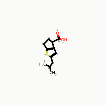 CC(C)Cc1cc2c(s1)CCC2C(=O)O